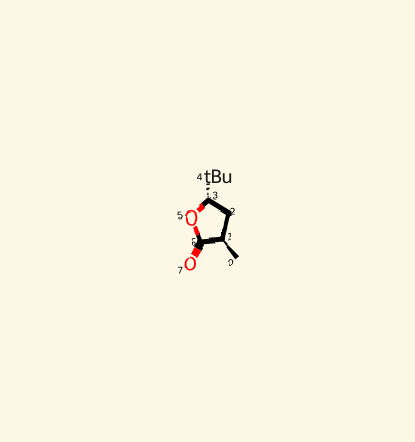 C[C@@H]1C[C@@H](C(C)(C)C)OC1=O